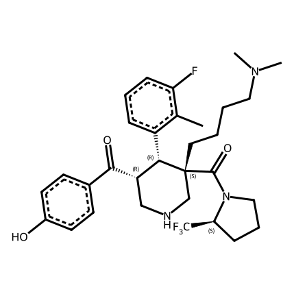 Cc1c(F)cccc1[C@H]1[C@@H](C(=O)c2ccc(O)cc2)CNC[C@@]1(CCCCN(C)C)C(=O)N1CCC[C@H]1C(F)(F)F